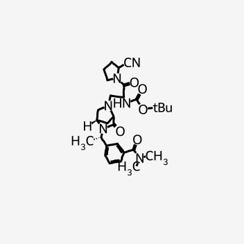 C[C@@H](c1cccc(C(=O)N(C)C)c1)N1C(=O)C2C[C@H]1CN2CC(NC(=O)OC(C)(C)C)C(=O)N1CCCC1C#N